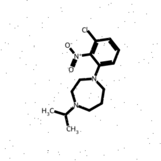 CC(C)N1CCCN(c2cccc(Cl)c2[N+](=O)[O-])CC1